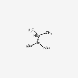 CCC[CH2][SnH]([CH2]CCC)[SnH]([CH3])[CH3]